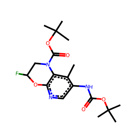 Cc1c(NC(=O)OC(C)(C)C)cnc2c1N(C(=O)OC(C)(C)C)CC(F)O2